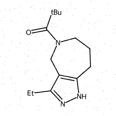 CCc1n[nH]c2c1CN(C(=O)C(C)(C)C)CCC2